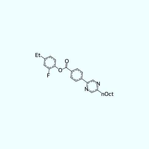 CCCCCCCCc1cnc(-c2ccc(C(=O)Oc3ccc(CC)cc3F)cc2)cn1